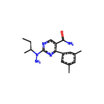 CCC(C)N(N)c1ncc(C(N)=O)c(-c2cc(C)cc(C)c2)n1